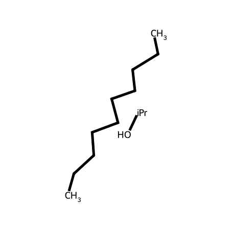 CC(C)O.CCCCCCCCCC